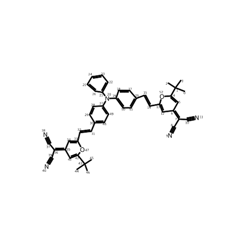 CC(C)(C)C1=CC(=C(C#N)C#N)C=C(/C=C/c2ccc(N(c3ccccc3)c3ccc(/C=C/C4=CC(=C(C#N)C#N)C=C(C(C)(C)C)O4)cc3)cc2)O1